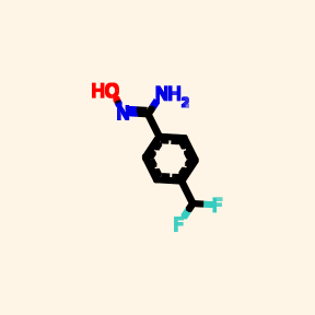 NC(=NO)c1ccc(C(F)F)cc1